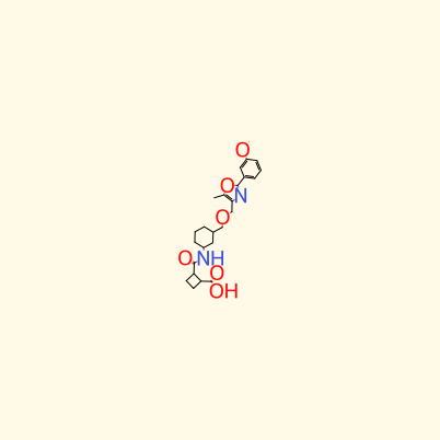 COc1cccc(-c2nc(COCC3CCCC(NC(=O)C4CCC4C(=O)O)C3)c(C)o2)c1